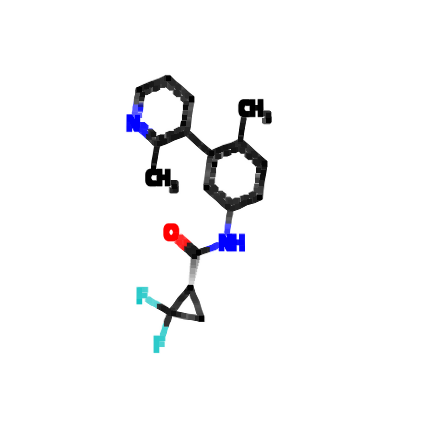 Cc1ccc(NC(=O)[C@@H]2CC2(F)F)cc1-c1cccnc1C